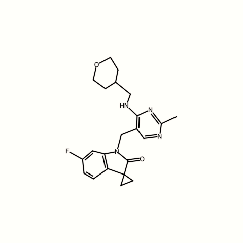 Cc1ncc(CN2C(=O)C3(CC3)c3ccc(F)cc32)c(NCC2CCOCC2)n1